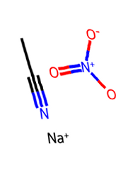 CC#N.O=[N+]([O-])[O-].[Na+]